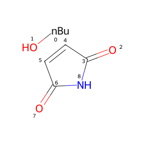 CCCCO.O=C1C=CC(=O)N1